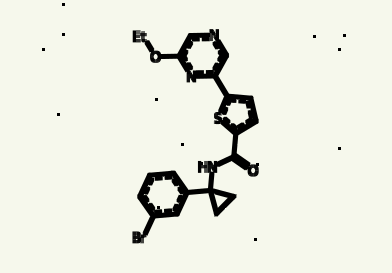 CCOc1cncc(-c2ccc(C(=O)NC3(c4cccc(Br)c4)CC3)s2)n1